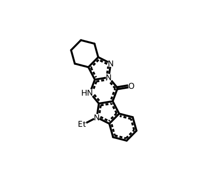 CCn1c2ccccc2c2c(=O)n3nc4c(c3[nH]c21)CCCC4